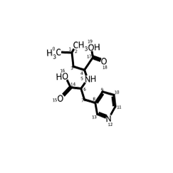 CC(C)CC(NC(Cc1cccnc1)C(=O)O)C(=O)O